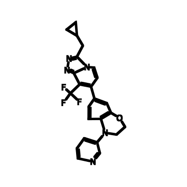 FC(F)(F)c1c(-c2ccc3c(c2)OCCN3c2cccnc2)ccn2c(CC3CC3)nnc12